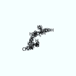 Cc1cc(S(=O)(=O)Nc2ccc(N3CCN(c4cccc(-c5c(C(=O)NC[SH](=O)=O)cnn5-c5ccc(Cl)cc5)c4)CC3)cc2)ccc1N[C@H](CCN1CCC(O)CC1)CSc1ccccc1